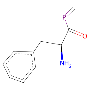 C=PC(=O)[C@@H](N)Cc1ccccc1